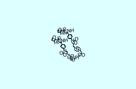 CC(C)OC(=O)CN1CCN(CC2CN(c3ccc(C(=N)NC(=O)c4ccco4)cc3)C(=O)O2)CC1.CS(=O)(=O)OCC1CN(c2ccc(C(=N)NC(=O)c3ccco3)cc2)C(=O)O1